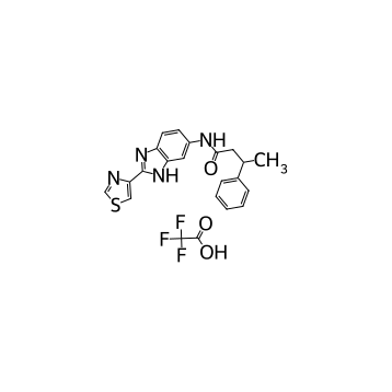 CC(CC(=O)Nc1ccc2nc(-c3cscn3)[nH]c2c1)c1ccccc1.O=C(O)C(F)(F)F